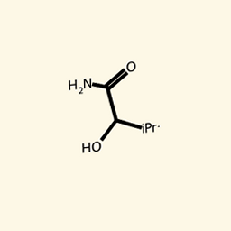 C[C](C)C(O)C(N)=O